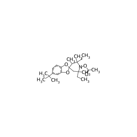 CCC1(C)CC2(Oc3ccc(C(C)(C)C)cc3O2)C(C)C(C)(CC)N1OC(C)=O